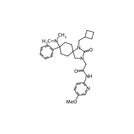 COc1ccc(NC(=O)CN2CC3(CCC(c4ccccc4)(N(C)C)CC3)N(CC3CCC3)C2=O)nc1